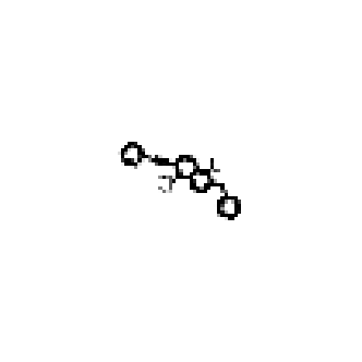 Clc1c(C#Cc2ccccc2)ccc2c(Cl)c(Cc3ccccc3)ccc12